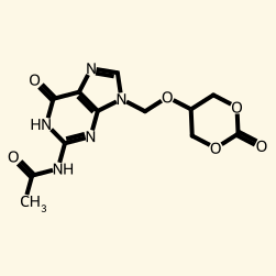 CC(=O)Nc1nc2c(ncn2COC2COC(=O)OC2)c(=O)[nH]1